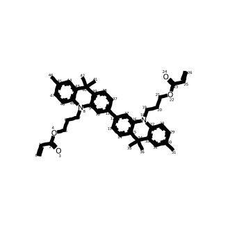 C=CC(=O)OCCCN1c2cc(-c3ccc4c(c3)N(CCCOC(=O)C=C)c3ccc(C)cc3C4(C)C)ccc2C(C)(C)c2cc(C)ccc21